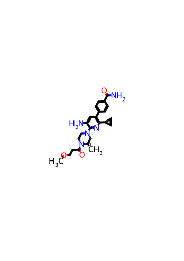 COCCC(=O)N1CCN(c2nc(C3CC3)c(-c3ccc(C(N)=O)cc3)cc2N)C[C@H]1C